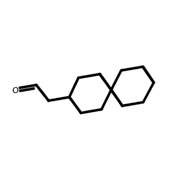 O=CCC1CCC2(CCCCC2)CC1